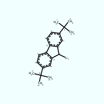 [Li][CH]1c2cc(C(C)(C)C)ccc2-c2ccc(C(C)(C)C)cc21